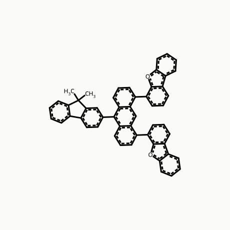 CC1(C)c2ccccc2-c2ccc(-c3c4cccc(-c5cccc6c5oc5ccccc56)c4cc4c(-c5cccc6c5oc5ccccc56)cccc34)cc21